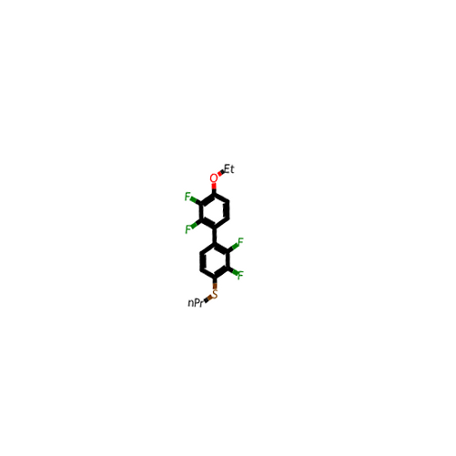 CCCSc1ccc(-c2ccc(OCC)c(F)c2F)c(F)c1F